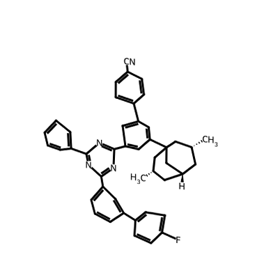 C[C@@H]1C[C@@H]2C[C@H](C)CC(c3cc(-c4ccc(C#N)cc4)cc(-c4nc(-c5ccccc5)nc(-c5cccc(-c6ccc(F)cc6)c5)n4)c3)(C1)C2